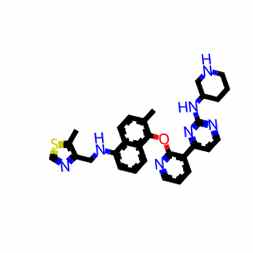 Cc1ccc2c(NCc3ncsc3C)cccc2c1Oc1ncccc1-c1ccnc(NC2CCCNC2)n1